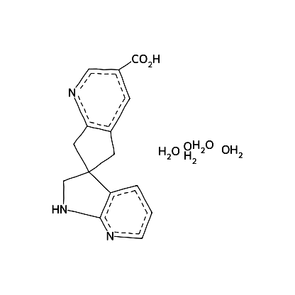 O.O.O.O.O=C(O)c1cnc2c(c1)CC1(CNc3ncccc31)C2